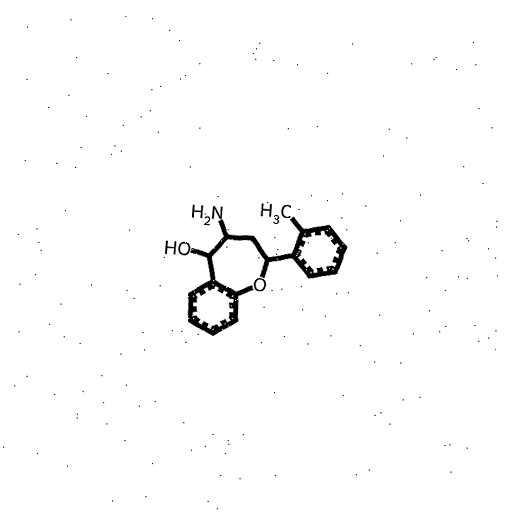 Cc1ccccc1C1CC(N)C(O)c2ccccc2O1